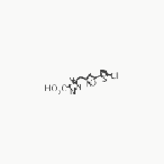 O=C(O)c1nnn(Cc2cc(-c3ccc(Cl)s3)on2)n1